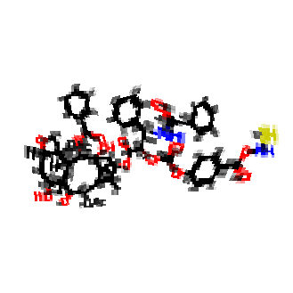 CC(=O)O[C@H]1C(=O)[C@@]2(C)[C@H]([C@H](OC(=O)c3ccccc3)[C@]3(O)C[C@H](OC(=O)[C@H](OC(=O)Oc4ccc(C(=O)ONS)cc4)[C@@H](NC(=O)c4ccccc4)c4ccccc4)C(C)=C1C3(C)C)[C@]1(OC(C)=O)CO[C@@H]1C[C@@H]2O